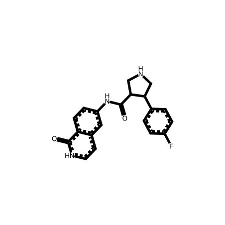 O=C(Nc1ccc2c(=O)[nH]ccc2c1)C1CNCC1c1ccc(F)cc1